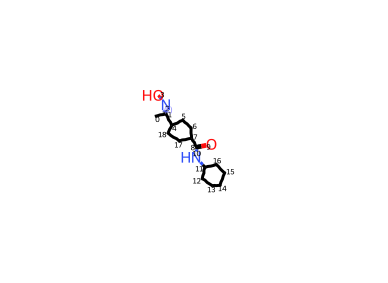 C/C(=N\O)C1CCC(C(=O)NC2CCCCC2)CC1